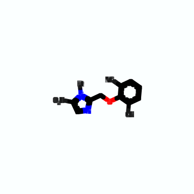 CCn1c([N+](=O)[O-])cnc1COc1c(C#N)cccc1C#N